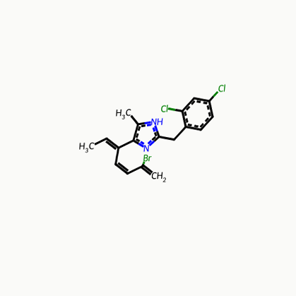 C=C(Br)/C=C\C(=C/C)c1nc(Cc2ccc(Cl)cc2Cl)[nH]c1C